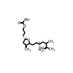 C=C(C)C(C)C[C@H](O)CCC1O[C@@H](CCCOC(=O)C(C)(C)C)CC1=C